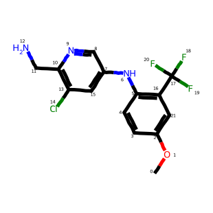 COc1ccc(Nc2cnc(CN)c(Cl)c2)c(C(F)(F)F)c1